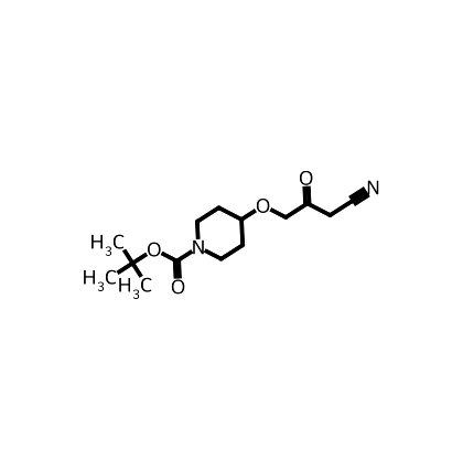 CC(C)(C)OC(=O)N1CCC(OCC(=O)CC#N)CC1